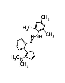 Cc1cc(C)c(N/N=C/c2ccccc2C2=C(N(C)C)C=CC2)c(C)c1